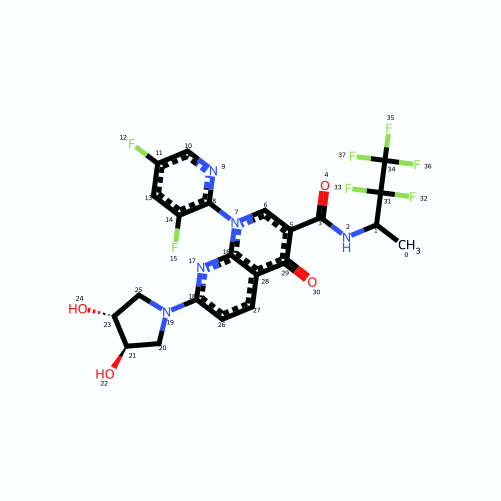 CC(NC(=O)c1cn(-c2ncc(F)cc2F)c2nc(N3C[C@@H](O)[C@H](O)C3)ccc2c1=O)C(F)(F)C(F)(F)F